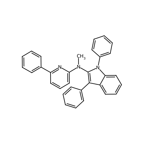 CN(c1cccc(-c2ccccc2)n1)c1c(-c2ccccc2)c2ccccc2n1-c1ccccc1